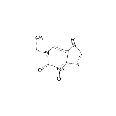 CCn1cc2[nH]cnc2[n+]([O-])c1=O